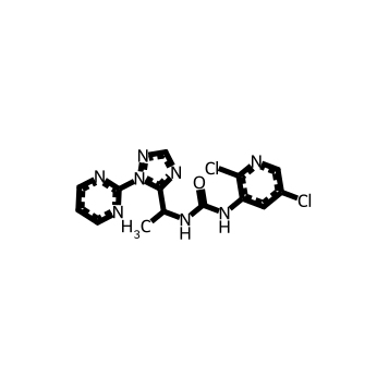 CC(NC(=O)Nc1cc(Cl)cnc1Cl)c1ncnn1-c1ncccn1